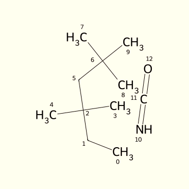 CCC(C)(C)CC(C)(C)C.N=C=O